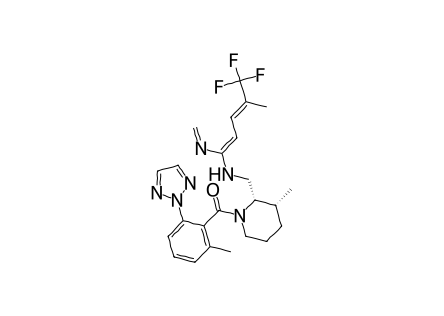 C=N/C(=C\C=C(/C)C(F)(F)F)NC[C@@H]1[C@H](C)CCCN1C(=O)c1c(C)cccc1-n1nccn1